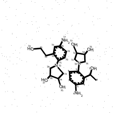 CC(O)c1cc(N)ccc1N1CC(O)C(O)C1.Nc1ccc(N2CC(O)C(O)C2)c(CCO)c1